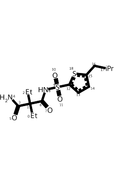 CCC(CC)(C(N)=O)C(=O)NS(=O)(=O)c1ccc(CC(C)C)s1